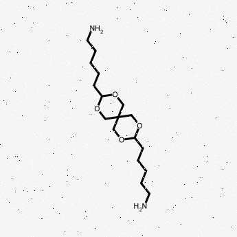 NCCCCCC1OCC2(CO1)COC(CCCCCN)OC2